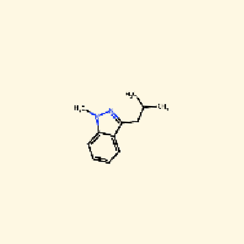 CC(C)Cc1nn(C)c2ccccc12